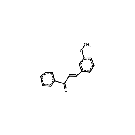 COc1[c]ccc(/C=C/C(=O)c2ccccc2)c1